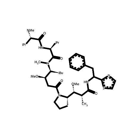 CC[C@H](C)[C@@H]([C@@H](CC(=O)N1CCC[C@H]1[C@H](OC)[C@@H](C)C(=O)NC(Cc1ccccc1)c1nccs1)OC)N(C)C(=O)[C@@H](NC(=O)[C@@H](NC)C(C)C)C(C)C